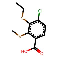 CCSc1c(Cl)ccc(C(=O)O)c1SC